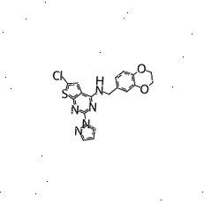 Clc1cc2c(NCc3ccc4c(c3)OCCO4)nc(-n3cccn3)nc2s1